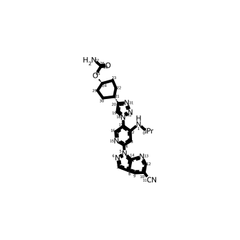 CC(C)Nc1cc(-n2ncc3cc(C#N)cnc32)ncc1-n1cc([C@H]2CC[C@@H](OC(N)=O)CC2)nn1